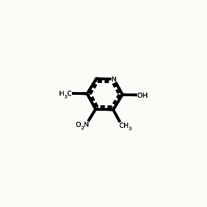 Cc1cnc(O)c(C)c1[N+](=O)[O-]